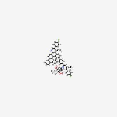 Cc1cc(-c2ccc(-c3ccccc3-c3cc(BOC(C)(C)C(C)(C)O)cc(-c4ccccc4-c4ccc(-c5cc(C)c(-c6ccc(F)cc6)cn5)cc4)c3)cc2)ncc1-c1ccc(F)cc1